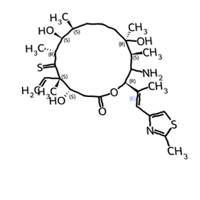 C=C[C@]1(C)C(=S)[C@H](C)[C@@H](O)[C@@H](C)CCC[C@@](C)(O)[C@@H](C)C(N)[C@@H](/C(C)=C/c2csc(C)n2)OC(=O)C[C@@H]1O